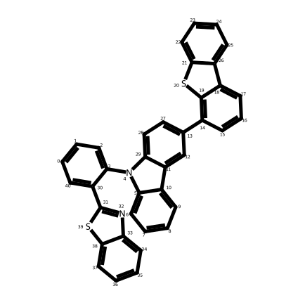 c1ccc(-n2c3ccccc3c3cc(-c4cccc5c4sc4ccccc45)ccc32)c(-c2nc3ccccc3s2)c1